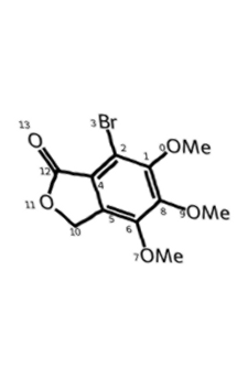 COc1c(Br)c2c(c(OC)c1OC)COC2=O